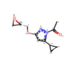 CC(=O)n1nc(OC[C@@H]2CO2)cc1C1CC1